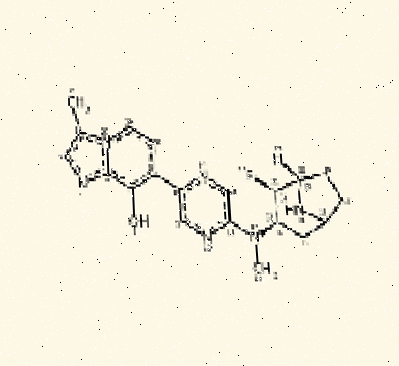 Cc1cnc2c(O)c(-c3cnc(N(C)[C@@H]4CC5CC[C@H](N5)[C@@H]4F)cn3)ccn12